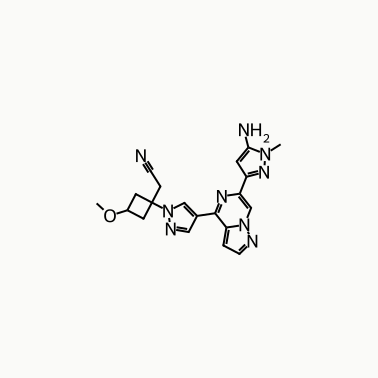 COC1CC(CC#N)(n2cc(-c3nc(-c4cc(N)n(C)n4)cn4nccc34)cn2)C1